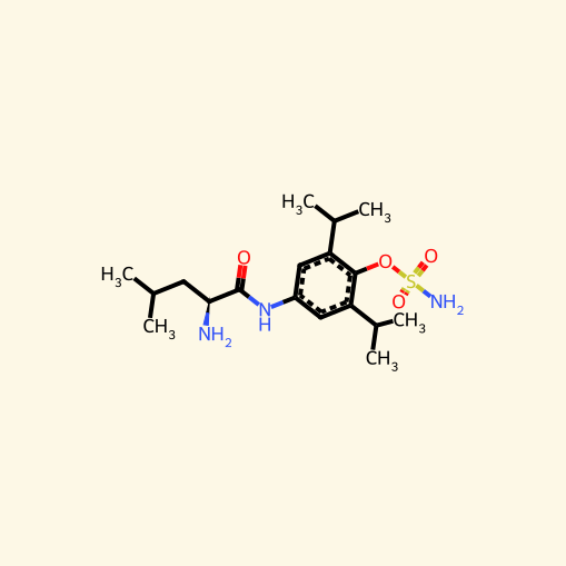 CC(C)C[C@H](N)C(=O)Nc1cc(C(C)C)c(OS(N)(=O)=O)c(C(C)C)c1